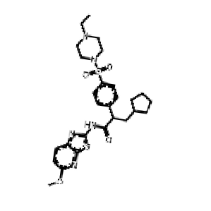 CCN1CCN(S(=O)(=O)c2ccc(C(CC3CCCC3)C(=O)Nc3nc4ccc(OC)nc4s3)cc2)CC1